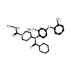 CCNC(=O)N1CCC(N(C(=O)C2CCCCC2)c2ccc(Oc3ccccc3C(F)(F)F)cc2C(=O)O)CC1